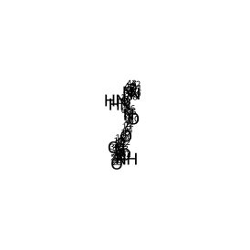 N=C/C(=C\NC1CCN(C(=O)CCCCCOc2ccc3c(c2)CN(C2CCC(=O)NC2=O)C3=O)CC1)c1cnc2ccccc2n1